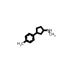 CNC1CCC(c2ccc(C)cc2)C1